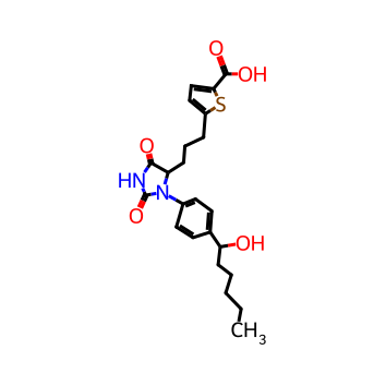 CCCCCC(O)c1ccc(N2C(=O)NC(=O)C2CCCc2ccc(C(=O)O)s2)cc1